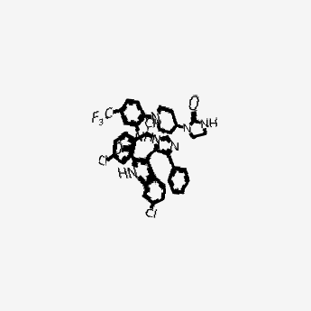 C[C@@H](c1ccc(Cl)cc1)n1cnc(-c2ccccc2)c1-c1c(C(=O)Nc2cc(C(F)(F)F)ccc2N2CCC(N3CCNC3=O)CC2)[nH]c2cc(Cl)ccc12